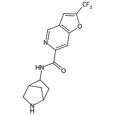 O=C(NC1CC2CC1CN2)c1cc2oc(C(F)(F)F)cc2cn1